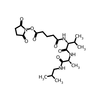 CC(C)CNC(=O)[C@H](C)NC(=O)[C@@H](NC(=O)CCCC(=O)ON1C(=O)CCC1=O)C(C)C